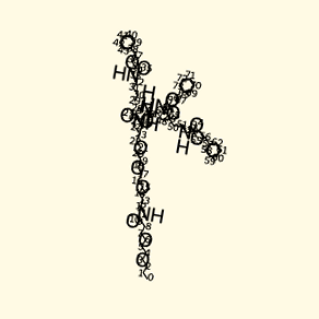 CCCOCCOCCC(=O)NCCCOCCOCCOCCCNC(=O)[C@H](CCCCNC(=O)OCc1ccccc1)NC(=O)[C@H](CCCCNC(=O)OCc1ccccc1)NC(=O)OCc1ccccc1